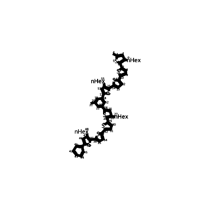 CCCCCCc1cc(C)sc1-c1ccc(-c2ccc(-c3sc(-c4cc(C)cc(-c5cc(CCCCCC)c(-c6ccc(-c7ccc(-c8sc(-c9ccccc9)cc8CCCCCC)s7)s6)s5)c4)cc3CCCCCC)s2)s1